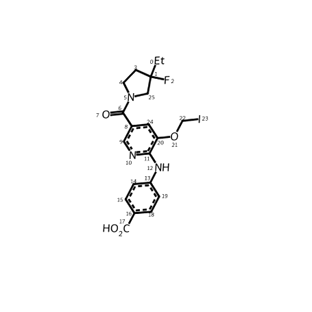 CCC1(F)CCN(C(=O)c2cnc(Nc3ccc(C(=O)O)cc3)c(OCI)c2)C1